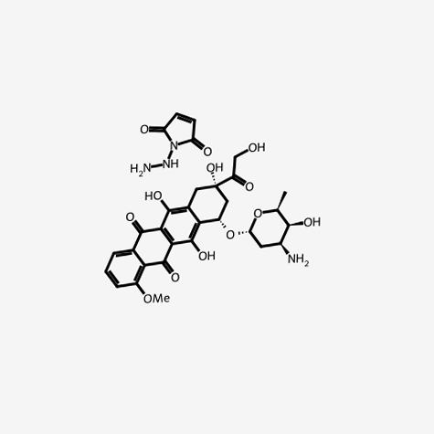 COc1cccc2c1C(=O)c1c(O)c3c(c(O)c1C2=O)C[C@@](O)(C(=O)CO)C[C@@H]3O[C@H]1C[C@H](N)[C@H](O)[C@H](C)O1.NNN1C(=O)C=CC1=O